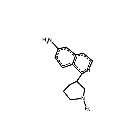 CCN1CCCC(c2nccc3cc(N)ccc23)C1